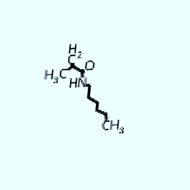 C=C(C)C(=O)NCCCCCC